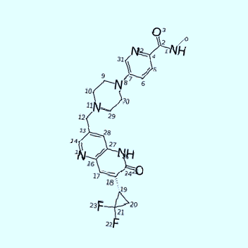 CNC(=O)c1ccc(N2CCN(Cc3cnc4cc([C@@H]5CC5(F)F)c(=O)[nH]c4c3)CC2)cn1